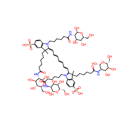 CC1(CCCCCC(=O)N[C@@H]2[C@@H](O)[C@H](O)[C@@H](CO)O[C@H]2O)C(/C=C/C=C/C=C/C=C2/N(CCCCCC(=O)N[C@H]3[C@H](O)[C@@H](O)[C@H](CO)O[C@@H]3O)c3ccc(S(=O)(=O)O)cc3C2(C)CCCCCC(=O)N[C@H]2[C@H](O)[C@@H](O)[C@H](CO)O[C@@H]2O)=[N+](CCCCCC(=O)N[C@H]2[C@H](O)[C@@H](O)[C@H](CO)O[C@@H]2O)c2ccc(S(=O)(=O)O)cc21